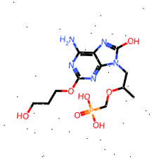 CC(Cn1c(O)nc2c(N)nc(OCCCO)nc21)OCP(=O)(O)O